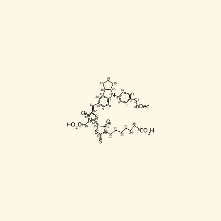 CCCCCCCCCCSc1ccc(N2c3ccc(/C=c4\s/c(=C5/SC(=S)N(CCCCCCC(=O)O)C5=O)n(CC(=O)O)c4=O)cc3C3CCCC32)cc1